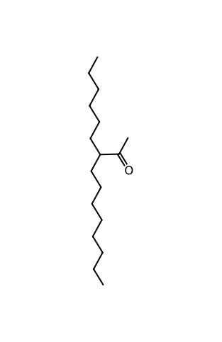 CCCCCCCCC(CCCCCC)C(C)=O